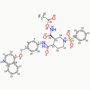 O=C(Nc1ccc(COc2ccnc3ccccc23)cc1)C1CCN(S(=O)(=O)c2ccccc2)C[C@@H]1C(=O)NOC(=O)C(F)(F)F